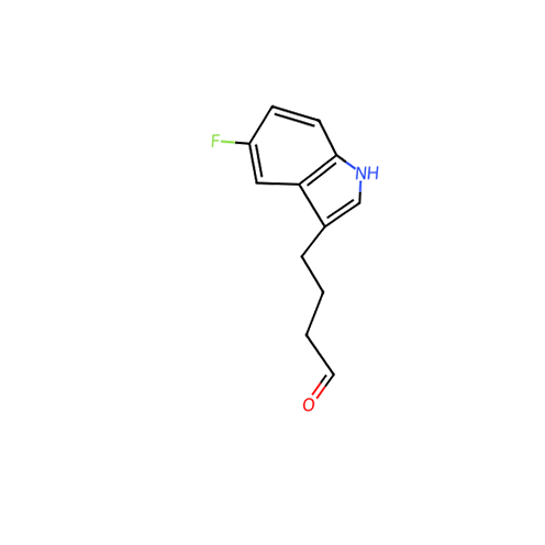 O=CCCCc1c[nH]c2ccc(F)cc12